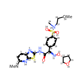 CNc1ccc2nc(NC(=O)/C(=N/O[C@@H]3CCOC3)c3ccc(S(=O)(=O)N(C)CCOC)cc3)sc2n1